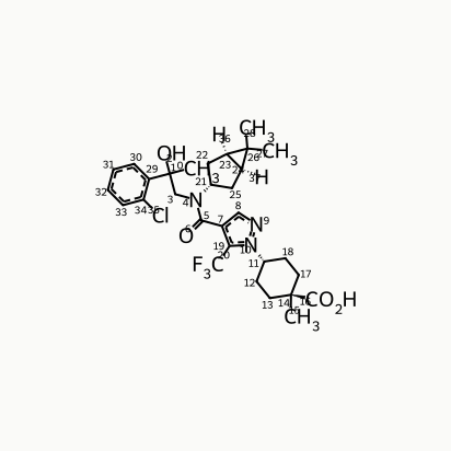 CC(O)(CN(C(=O)c1cnn([C@H]2CC[C@](C)(C(=O)O)CC2)c1C(F)(F)F)[C@@H]1C[C@@H]2[C@H](C1)C2(C)C)c1ccccc1Cl